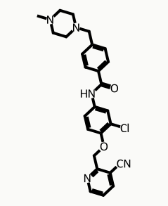 CN1CCN(Cc2ccc(C(=O)Nc3ccc(OCc4ncccc4C#N)c(Cl)c3)cc2)CC1